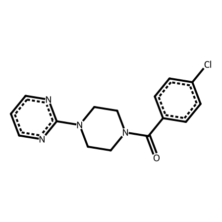 O=C(c1ccc(Cl)cc1)N1CCN(c2ncccn2)CC1